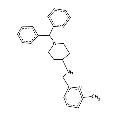 Cc1cccc(CNC2CCN(C(c3ccccc3)c3ccccc3)CC2)n1